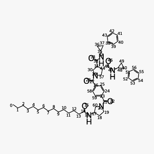 CCCCCCCCCCCCCCC(=O)N[C@@H]1CCN(C(=O)c2ccc(C(=O)N3C[C@@H](C(=O)N[C@H]4C[C@@H]4c4ccccc4)[C@H](C(=O)N[C@H]4C[C@@H]4c4ccccc4)C3)cc2)C1